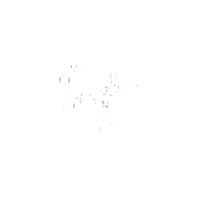 CCCCC(=O)OCO/N=C(\C(=O)NC1C(=O)N2C(C(=O)OCc3ccc(OC)cc3)=C(CCl)CSC12)c1csc(NC(=O)OC(C)(C)C)n1